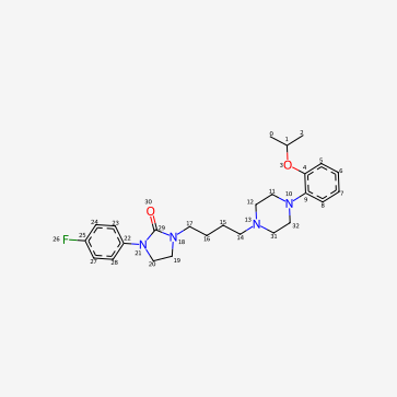 CC(C)Oc1ccccc1N1CCN(CCCCN2CCN(c3ccc(F)cc3)C2=O)CC1